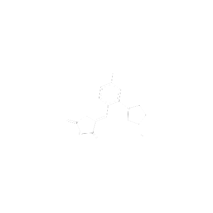 N[C@H]1CCN(c2cc(Cl)ccc2/C=C2\SC(=O)NC2=O)C1